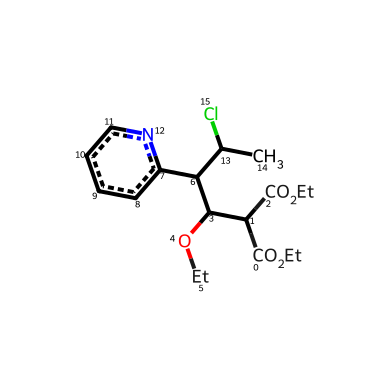 CCOC(=O)C(C(=O)OCC)C(OCC)C(c1ccccn1)C(C)Cl